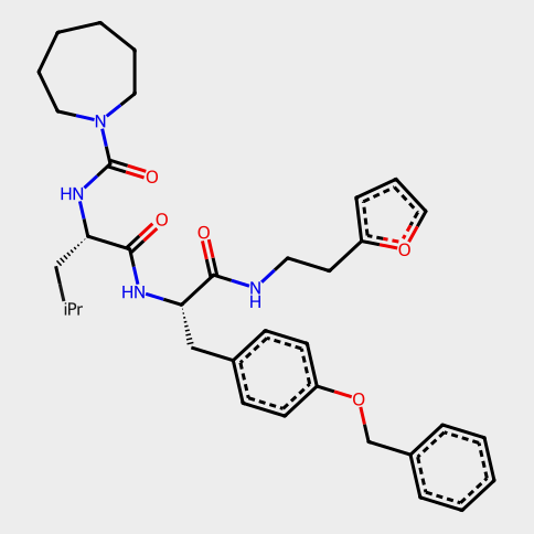 CC(C)C[C@H](NC(=O)N1CCCCCC1)C(=O)N[C@@H](Cc1ccc(OCc2ccccc2)cc1)C(=O)NCCc1ccco1